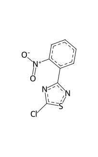 O=[N+]([O-])c1ccccc1-c1nsc(Cl)n1